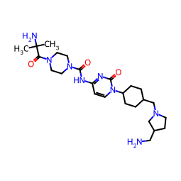 CC(C)(N)C(=O)N1CCN(C(=O)Nc2ccn(C3CCC(CN4CCC(CN)C4)CC3)c(=O)n2)CC1